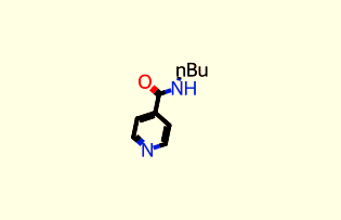 CCCCNC(=O)c1ccncc1